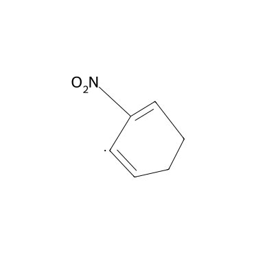 O=[N+]([O-])C1=CCCC=[C]1